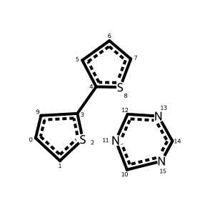 c1csc(-c2cccs2)c1.c1ncncn1